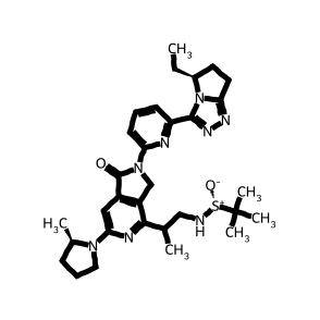 CC[C@H]1CCc2nnc(-c3cccc(N4Cc5c(cc(N6CCC[C@H]6C)nc5C(C)CN[S@+]([O-])C(C)(C)C)C4=O)n3)n21